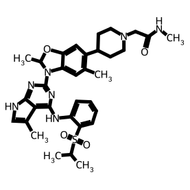 CNC(=O)CN1CCC(c2cc3c(cc2C)N(c2nc(Nc4ccccc4S(=O)(=O)C(C)C)c4c(C)c[nH]c4n2)C(C)O3)CC1